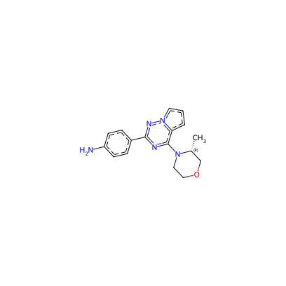 C[C@@H]1COCCN1c1nc(-c2ccc(N)cc2)nn2cccc12